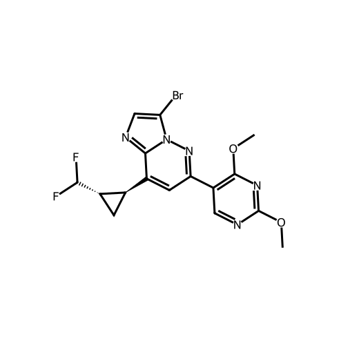 COc1ncc(-c2cc([C@H]3C[C@@H]3C(F)F)c3ncc(Br)n3n2)c(OC)n1